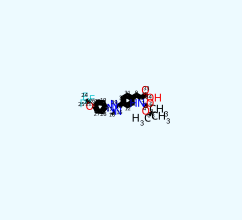 CC(C)(C)OC(=O)NC(Cc1ccc(-c2ncn(-c3ccc(OC(F)(F)F)cc3)n2)cc1)C(=O)O